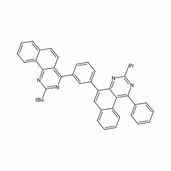 CC(C)c1nc(-c2ccccc2)c2c(n1)c(-c1cccc(-c3nc(C(C)(C)C)nc4c3ccc3ccccc34)c1)cc1ccccc12